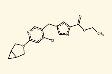 CCOC(=O)c1cn(Cc2cnc(N3CC4CC4C3)cc2Cl)cn1